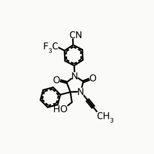 CC#CN1C(=O)N(c2ccc(C#N)c(C(F)(F)F)c2)C(=O)C1(CO)c1ccccc1